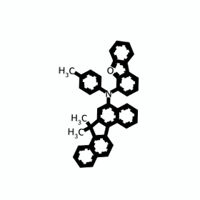 Cc1ccc(N(c2cc3c(c4ccccc24)-c2ccc4ccccc4c2C3(C)C)c2cccc3c2oc2ccccc23)cc1